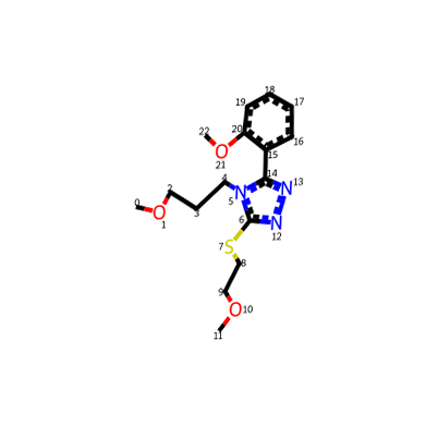 COCCCn1c(SCCOC)nnc1-c1ccccc1OC